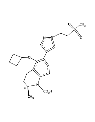 C[C@H]1CCc2c(ccc(-c3cnn(CCS(C)(=O)=O)c3)c2OC2CCC2)N1C(=O)O